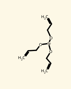 C=CCO[Si](OCC=C)OCC=C